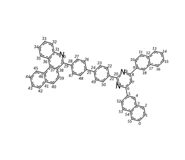 c1ccc2cc(-c3cc(-c4ccc5ccccc5c4)nc(-c4ccc(-c5ccc(-c6nc7ccccc7c7c6ccc6ccccc67)cc5)cc4)n3)ccc2c1